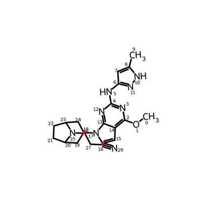 COc1nc(Nc2cc(C)[nH]n2)nc2c1ccn2C1CC2CCC(C1)N2CCC#N